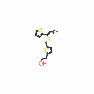 CC/C=C(\SCc1ccc(CCO)s1)c1cccs1